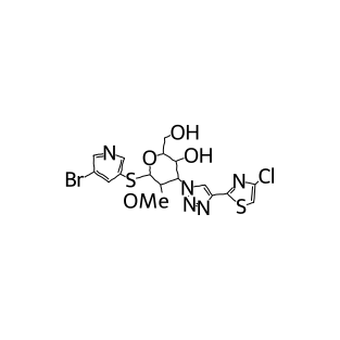 COC1C(Sc2cncc(Br)c2)OC(CO)C(O)C1n1cc(-c2nc(Cl)cs2)nn1